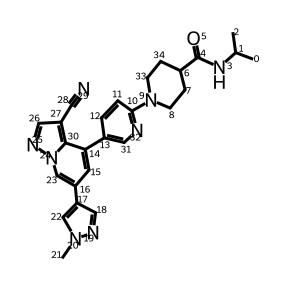 CC(C)NC(=O)C1CCN(c2ccc(-c3cc(-c4cnn(C)c4)cn4ncc(C#N)c34)cn2)CC1